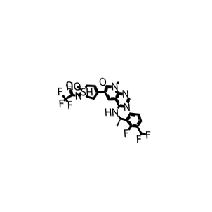 C[C@@H](Nc1ncnc2c1cc(C1=CC[SH](O)(=NC(=O)C(F)(F)F)CC1)c(=O)n2C)c1cccc(C(F)F)c1F